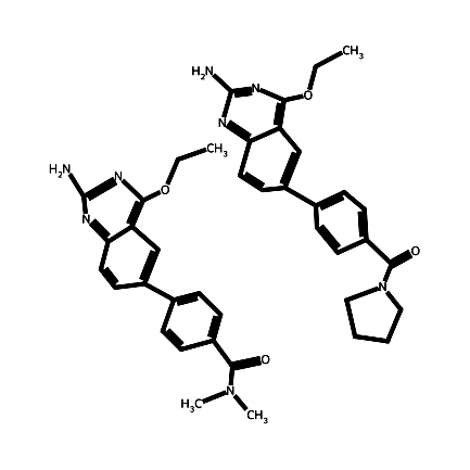 CCOc1nc(N)nc2ccc(-c3ccc(C(=O)N(C)C)cc3)cc12.CCOc1nc(N)nc2ccc(-c3ccc(C(=O)N4CCCC4)cc3)cc12